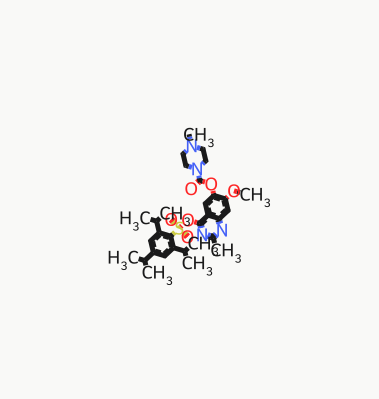 COc1cc2nc(C)nc(OS(=O)(=O)c3c(C(C)C)cc(C(C)C)cc3C(C)C)c2cc1OC(=O)N1CCN(C)CC1